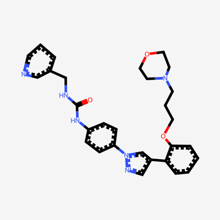 O=C(NCc1cccnc1)Nc1ccc(-n2cc(-c3ccccc3OCCCN3CCOCC3)cn2)cc1